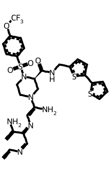 C=C\N=C/C(=N/C=C(\N)N1CCN(S(=O)(=O)c2ccc(OC(F)(F)F)cc2)[C@@H](C(=O)NCc2ccc(-c3cccs3)s2)C1)C(=C)N